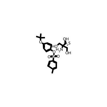 Cc1ccc(S(=O)(=O)Oc2ccc(OC(C)(C)C)cc2)cc1.NC(CO)(CO)CO.S